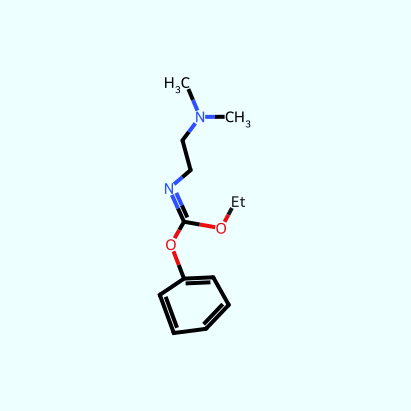 CCOC(=NCCN(C)C)Oc1ccccc1